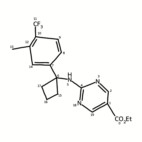 CCOC(=O)c1cnc(NC2(c3ccc(C(F)(F)F)c(C)c3)CCC2)nc1